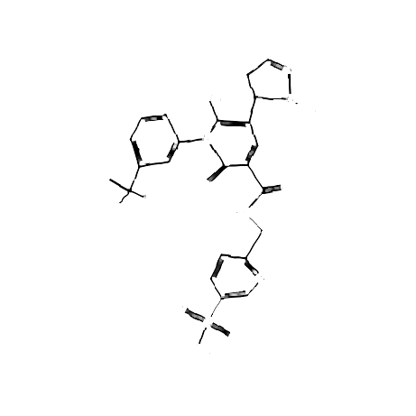 Cc1c(C2CC=NN2C)cc(C(=O)NCc2ccc(S(C)(=O)=O)cn2)c(=O)n1-c1cccc(C(F)(F)F)c1